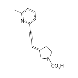 Cc1cccc(C#C/C=C2\CCN(C(=O)O)C2)n1